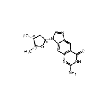 [CH2][C@H]1O[C@@H](n2cnc3cc4c(=O)[nH]c(N)nc4cc32)C[C@H]1O